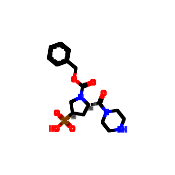 O=C([C@@H]1C[C@@H](S(=O)(=O)O)CN1C(=O)OCc1ccccc1)N1CCNCC1